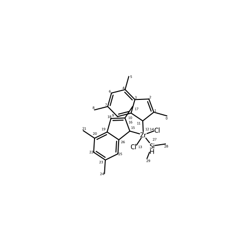 CC1=Cc2c(C)cc(C)cc2[CH]1[Zr]([Cl])([Cl])([CH]1C(C)=Cc2c(C)cc(C)cc21)[SiH](C)C